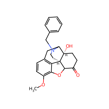 COc1ccc2c3c1OC1C(=O)CC[C@]4(O)C(C2)N(Cc2ccccc2)CC[C@@]314